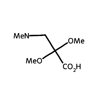 CNCC(OC)(OC)C(=O)O